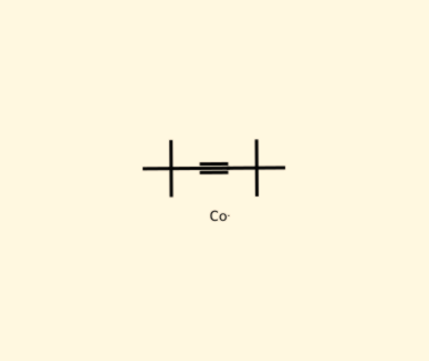 CC(C)(C)C#CC(C)(C)C.[Co]